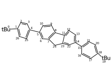 CC(C)(C)c1ccc(-c2[c]c3c(cc2)-c2ccc(-c4ccc(C(C)(C)C)cc4)cc2C3)cc1